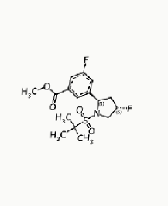 COC(=O)c1cc(F)cc([C@H]2C[C@H](F)CN2S(=O)(=O)C(C)(C)C)c1